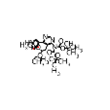 CCOC(Cc1c(-c2cn[nH]c2)ncnc1N(C(=O)OC(C)(C)C)C(=O)OC(C)(C)C)OCC